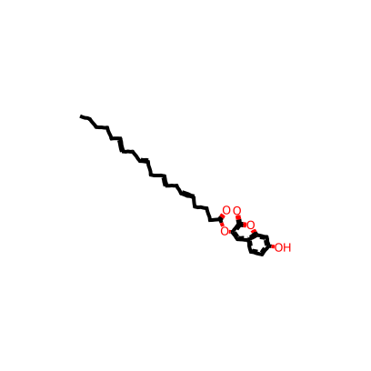 CCCCCC=CCC=CCC=CCC=CCCCC(=O)Oc1cc2ccc(O)cc2oc1=O